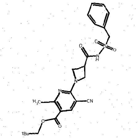 Cc1nc(N2CC(C(=O)NS(=O)(=O)Cc3ccccc3)C2)c(C#N)cc1C(=O)OCC(C)(C)C